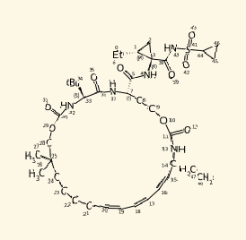 CC[C@@H]1C[C@]1(NC(=O)[C@@H]1C[CH]OC(=O)NCC=CC=CC=CCCCCC(C)(C)COC(=O)N[C@@H](C(C)(C)C)C(=O)N1)C(=O)NS(=O)(=O)C1CC1.[CH2].[CH2]